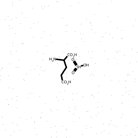 NC(CCC(=O)O)C(=O)O.O=[SH](=O)O